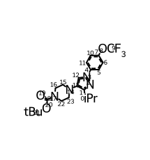 CC(C)c1nn(-c2ccc(OC(F)(F)F)cc2)cc1N1CCN(C(=O)OC(C)(C)C)CC1